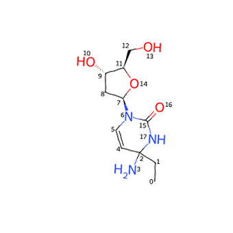 CCC1(N)C=CN([C@H]2C[C@H](O)[C@@H](CO)O2)C(=O)N1